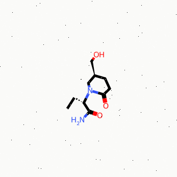 CC[C@@H](C(N)=O)N1C[C@@H](CO)CCC1=O